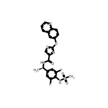 C[C@@H](NC(=O)c1coc(Oc2ccc3ncccc3c2)n1)c1cc(F)c(NS(C)(=O)=O)c(F)c1